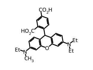 CCN(C)c1ccc2c(c1)Oc1cc(N(CC)CC)ccc1C2c1ccc(C(=O)O)cc1C(=O)O